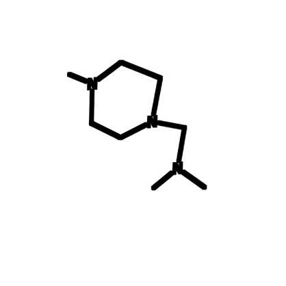 CN(C)CN1CCN(C)CC1